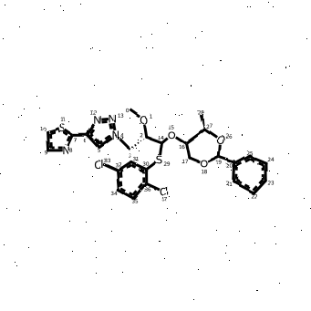 CO[C@@H](Cn1cc(-c2nccs2)nn1)C(OC1COC(c2ccccc2)O[C@@H]1C)Sc1cc(Cl)ccc1Cl